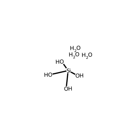 O.O.O.O[Si](O)(O)O